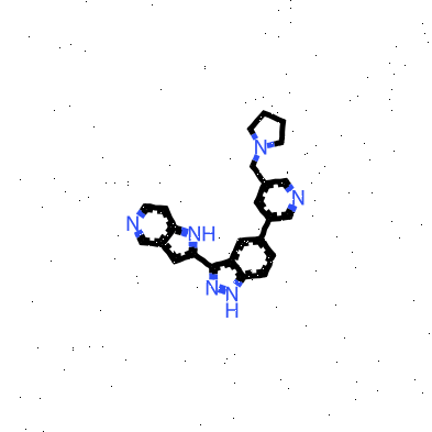 c1cc2[nH]c(-c3n[nH]c4ccc(-c5cncc(CN6CCCC6)c5)cc34)cc2cn1